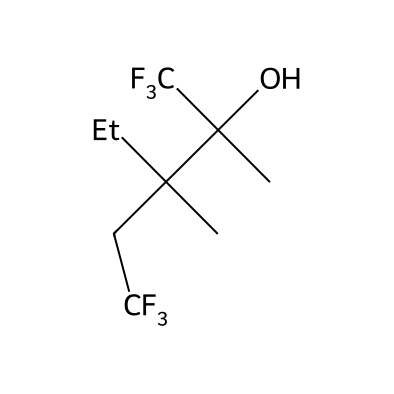 CCC(C)(CC(F)(F)F)C(C)(O)C(F)(F)F